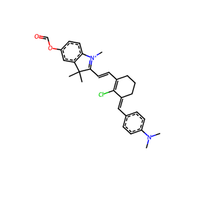 CN(C)c1ccc(/C=C2\CCCC(/C=C/C3=[N+](C)c4ccc(OC=O)cc4C3(C)C)=C2Cl)cc1